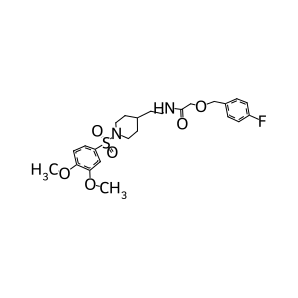 COc1ccc(S(=O)(=O)N2CCC(CCNC(=O)COCc3ccc(F)cc3)CC2)cc1OC